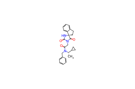 C[C@@H](C1CC1)N(Cc1ccccc1)C(=O)CN1C(=O)N[C@@]2(CCc3ccccc32)C1=O